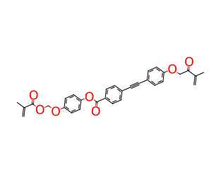 C=C(C)C(=O)COc1ccc(C#Cc2ccc(C(=O)Oc3ccc(OCOC(=O)C(=C)C)cc3)cc2)cc1